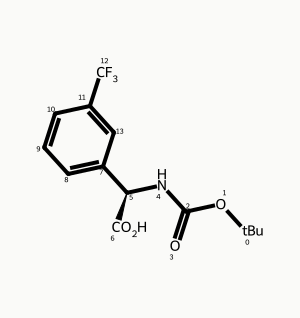 CC(C)(C)OC(=O)N[C@@H](C(=O)O)c1cccc(C(F)(F)F)c1